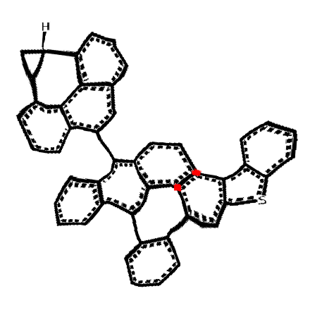 c1ccc(-c2c3ccccc3c(-c3cc4cccc5c4c4c(cccc34)C3C[C@H]53)c3ccccc23)c(-c2ccc3c(c2)sc2ccccc23)c1